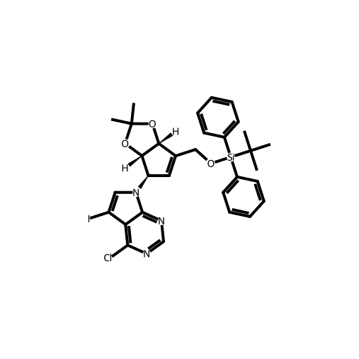 CC1(C)O[C@@H]2[C@H](O1)C(CO[Si](c1ccccc1)(c1ccccc1)C(C)(C)C)=C[C@H]2n1cc(I)c2c(Cl)ncnc21